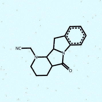 N#CCN1CCCC2C(=O)N3c4ccccc4CC3C21